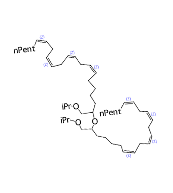 CCCCC/C=C\C/C=C\C/C=C\C/C=C\CCCCC(COC(C)C)OC(CCCC/C=C\C/C=C\C/C=C\C/C=C\CCCCC)COC(C)C